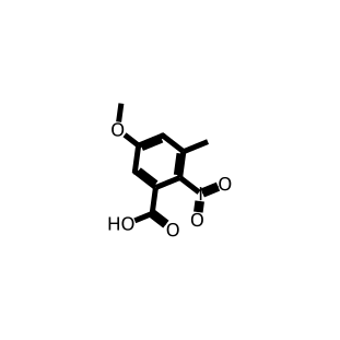 COc1cc(C)c(I(=O)=O)c(C(=O)O)c1